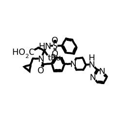 CC(C)(C)C(CC(=O)O)(NS(=O)(=O)c1ccccc1)N(CC1CC1)C(=O)c1ccc(N2CCC(Nc3ncccn3)CC2)cc1